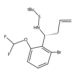 C=CC[C@@H](NSC(C)(C)C)c1c(Br)cccc1OC(F)F